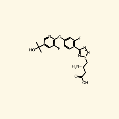 CC(C)(O)c1cnc(Oc2ccc(-c3nnn(C[C@@H](N)CC(=O)O)n3)c(F)c2)c(F)c1